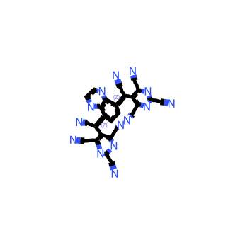 N#C/C(c1c(C#N)nc(C#N)nc1C#N)=c1/cc/c(=C(/C#N)c2c(C#N)nc(C#N)nc2C#N)c2nccnc12